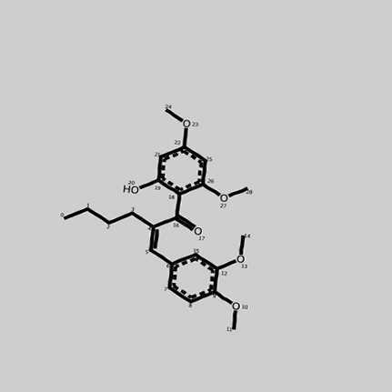 CCCCC(=Cc1ccc(OC)c(OC)c1)C(=O)c1c(O)cc(OC)cc1OC